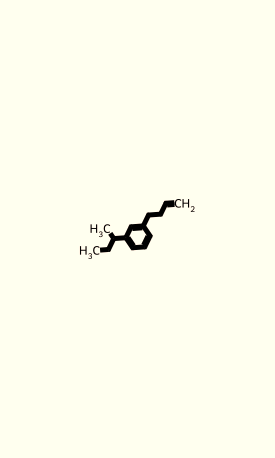 C=CCCc1cccc(C(C)CC)c1